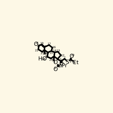 CCCC(=O)OC1(C(=O)CSC(=O)CC)CCC2C3CCC4=CC(=O)CCC4(C)C3C(O)CC21C